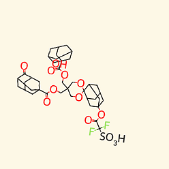 O=C1C2CC3CC1CC(C(=O)OCC1(COC(=O)C45CC6CC(C4)C(O)C(C6)C5)COC4(OC1)C1CC5CC4CC(OC(=O)C(F)(F)S(=O)(=O)O)(C5)C1)(C3)C2